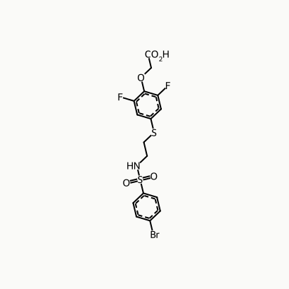 O=C(O)COc1c(F)cc(SCCNS(=O)(=O)c2ccc(Br)cc2)cc1F